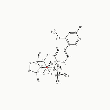 COc1cc(Br)ccc1-c1ncc(N(C)[C@@H]2C[C@H]3CC[C@@H](C2F)N3C(=O)OC(C)(C)C)nn1